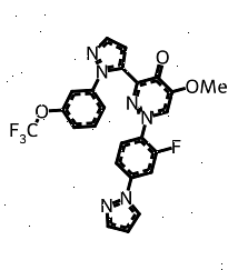 COc1cn(-c2ccc(-n3cccn3)cc2F)nc(-c2ccnn2-c2cccc(OC(F)(F)F)c2)c1=O